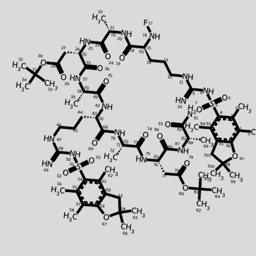 Cc1c(C)c(S(=O)(=O)NC(=N)NCCC[C@H](NF)C(=O)N[C@@H](C)C(=O)N[C@@H](CC(=O)OC(C)(C)C)C(=O)N[C@@H](C)C(=O)N[C@@H](CCCNC(=N)NS(=O)(=O)c2c(C)c(C)c3c(c2C)CC(C)(C)O3)C(=O)N[C@@H](C)C(=O)N[C@@H](CC(=O)OC(C)(C)C)C(=O)N[C@@H](C)C(N)=O)c(C)c2c1OC(C)(C)C2